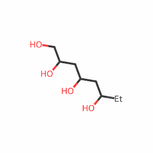 CCC(O)CC(O)CC(O)CO